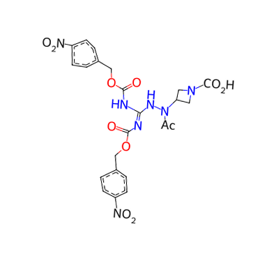 CC(=O)N(NC(=NC(=O)OCc1ccc([N+](=O)[O-])cc1)NC(=O)OCc1ccc([N+](=O)[O-])cc1)C1CN(C(=O)O)C1